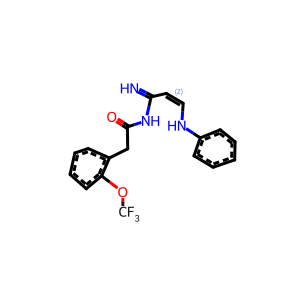 N=C(/C=C\Nc1ccccc1)NC(=O)Cc1ccccc1OC(F)(F)F